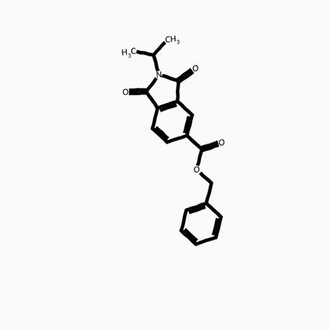 CC(C)N1C(=O)c2ccc(C(=O)OCc3ccccc3)cc2C1=O